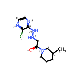 CC1CCCN(C(=O)CNNc2nccnc2Cl)C1